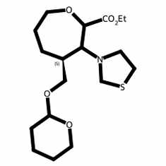 CCOC(=O)C1OCCC[C@H](COC2CCCCO2)C1N1CCSC1